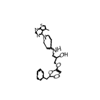 Cc1csc2ncnc(N3CCC(NCC(O)COC4=COC(Cc5ccccc5)O4)CC3)c12